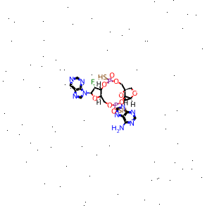 Nc1ncnc2c1ncn2[C@@H]1O[C@@]23CO[C@@H]1[C@@H]2OP(=O)(S)OC[C@H]1O[C@@H](n2cnc4cncnc42)[C@H](F)[C@@H]1OP(=O)(S)OC3